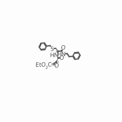 CCOC(=O)[C@H]1O[C@@H]1C(=O)N[C@@H](CSCc1ccccc1)C(=O)NCCc1ccccc1